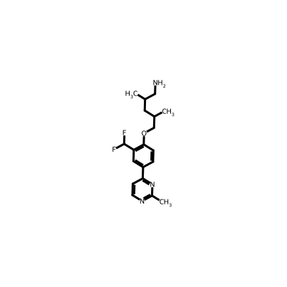 Cc1nccc(-c2ccc(OCC(C)CC(C)CN)c(C(F)F)c2)n1